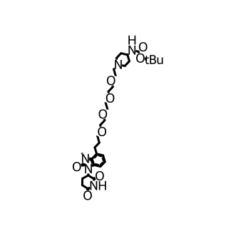 Cn1c(=O)n(C2CCC(=O)NC2=O)c2cccc(CCCOCCOCCOCCOCCN3CCC(NC(=O)OC(C)(C)C)CC3)c21